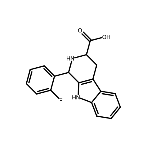 O=C(O)C1Cc2c([nH]c3ccccc23)C(c2ccccc2F)N1